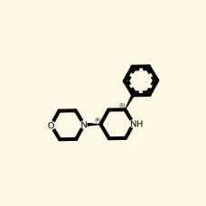 c1ccc([C@@H]2C[C@H](N3CCOCC3)CCN2)cc1